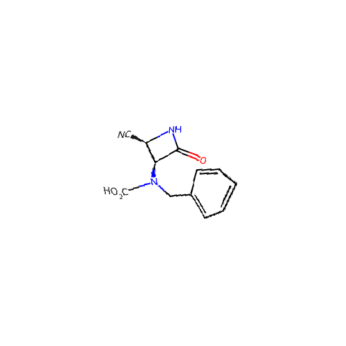 N#C[C@H]1NC(=O)[C@H]1N(Cc1ccccc1)C(=O)O